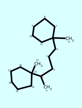 CC(CC[CH]C1(C)CCCCC1)C1(C)CCCCC1